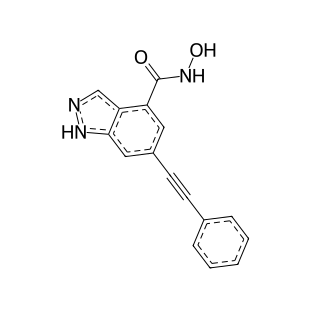 O=C(NO)c1cc(C#Cc2ccccc2)cc2[nH]ncc12